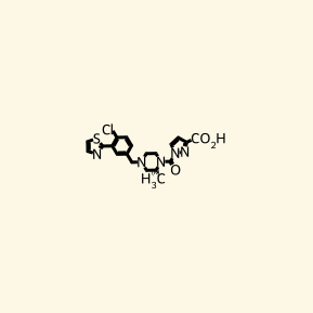 C[C@@H]1CN(Cc2ccc(Cl)c(-c3nccs3)c2)CCN1C(=O)n1ccc(C(=O)O)n1